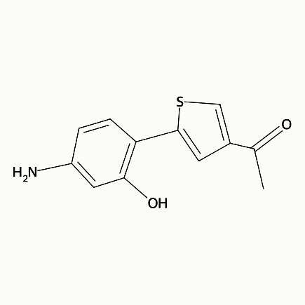 CC(=O)c1csc(-c2ccc(N)cc2O)c1